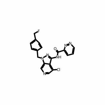 O=C(Nc1nn(Cc2ccc(CF)cc2)c2cncc(Cl)c12)c1cccnn1